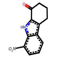 O=C1CCCc2c1[nH]c1c([N+](=O)[O-])cccc21